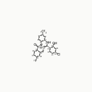 O=C(Nc1cc(C(F)(F)F)ccc1NC(=O)c1ccc(F)cc1F)c1ccc(Cl)cc1O